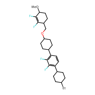 CCC1CCC(c2ccc(C3CCC(OCC4CCC(OC)C(F)=C4F)CC3)c(F)c2F)CC1